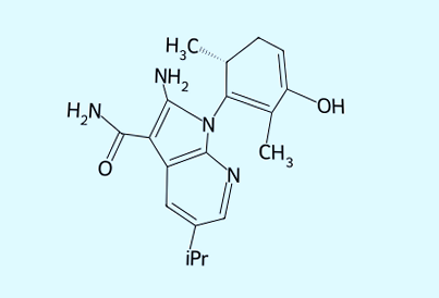 CC1=C(n2c(N)c(C(N)=O)c3cc(C(C)C)cnc32)[C@H](C)CC=C1O